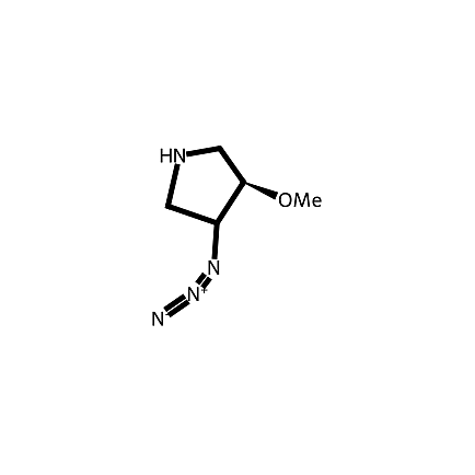 CO[C@@H]1CNCC1N=[N+]=[N-]